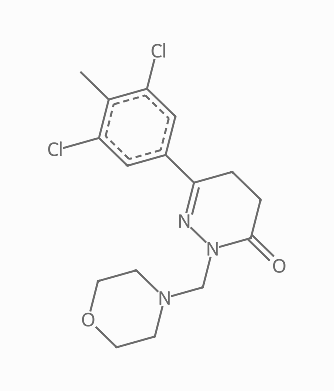 Cc1c(Cl)cc(C2=NN(CN3CCOCC3)C(=O)CC2)cc1Cl